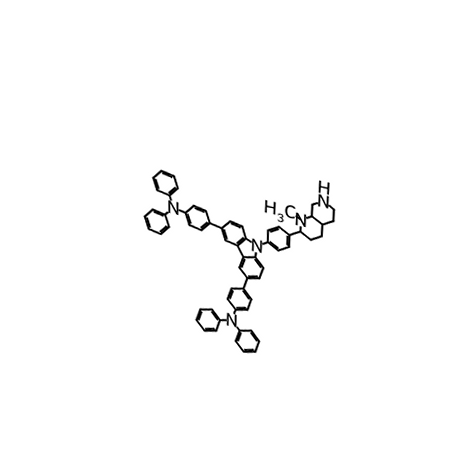 CN1C(c2ccc(-n3c4ccc(-c5ccc(N(c6ccccc6)c6ccccc6)cc5)cc4c4cc(-c5ccc(N(c6ccccc6)c6ccccc6)cc5)ccc43)cc2)CCC2CCNCC21